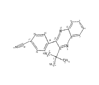 CC(C)(C)c1nc2ccccc2nc1-c1ccc(C#N)cc1